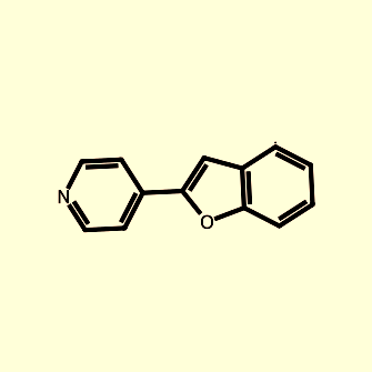 [c]1cccc2oc(-c3ccncc3)cc12